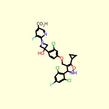 O=C(O)c1cnc(N2CC(O)(c3ccc(OCC4=C(C5CC5)ONC4c4c(Cl)cc(F)cc4Cl)cc3Cl)C2)c(F)c1